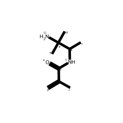 C=C(C)C(=O)NC(C)C(C)(C)N